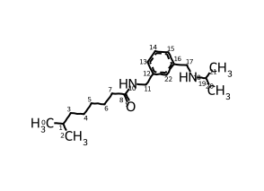 CC(C)CCCCCC(=O)NCc1cccc(CNC(C)C)c1